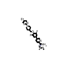 C=NN(C)/N=C(\N)c1ccc(-c2cc(F)c(OCC3CCN(c4ncc(CC)cn4)CC3)c(F)c2)cn1